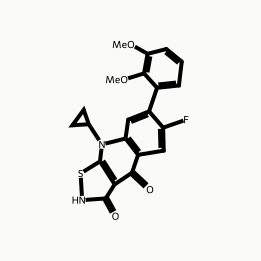 COc1cccc(-c2cc3c(cc2F)c(=O)c2c(=O)[nH]sc2n3C2CC2)c1OC